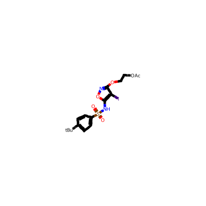 CC(=O)OCCOc1noc(NS(=O)(=O)c2ccc(C(C)(C)C)cc2)c1I